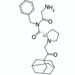 NCC(=O)N(Cc1ccccc1)C(=O)[C@@H]1CCCN1CC(=O)C12CC3CC(CC(C3)C1)C2